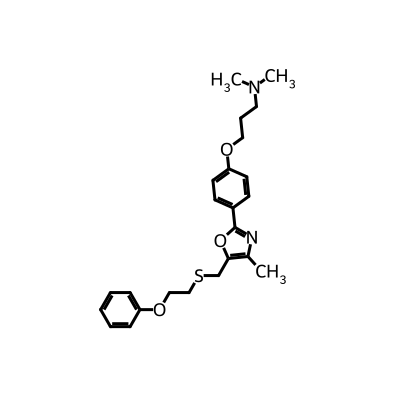 Cc1nc(-c2ccc(OCCCN(C)C)cc2)oc1CSCCOc1ccccc1